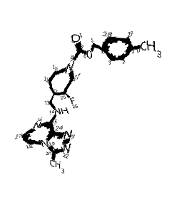 Cc1ccc(COC(=O)N2CC[C@H](CNc3nccn4c(C)nnc34)[C@H](F)C2)cc1